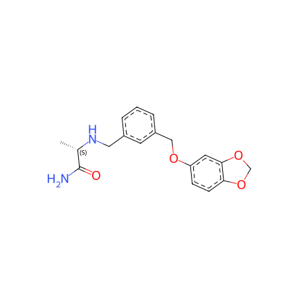 C[C@H](NCc1cccc(COc2ccc3c(c2)OCO3)c1)C(N)=O